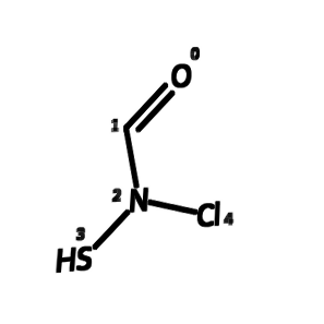 O=CN(S)Cl